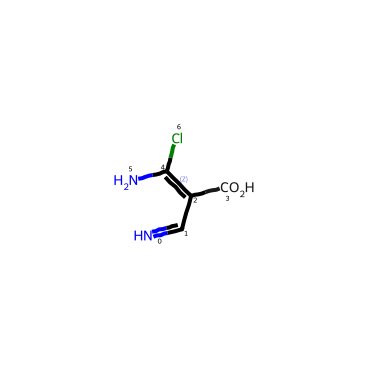 N=C/C(C(=O)O)=C(\N)Cl